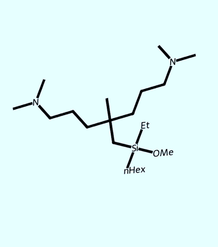 CCCCCC[Si](CC)(CC(C)(CCCN(C)C)CCCN(C)C)OC